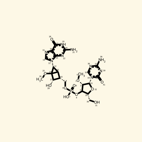 CO[C@H]1C(OP(=O)(O)OC[C@H]2C3[C@@H](n4cnc5c(=O)[nH]c(N)nc54)C3(OC)[C@H]2O)[C@@H](CO)O[C@H]1n1cnc(N)nc1=O